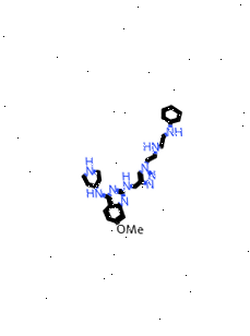 COc1ccc2c(NC3CCNCC3)nc(NCc3cn(CCNCCNC4CCCCC4)nn3)nc2c1